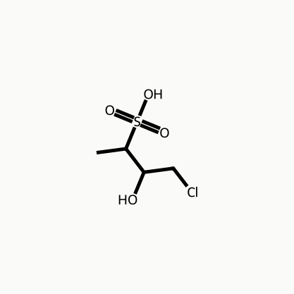 CC(C(O)CCl)S(=O)(=O)O